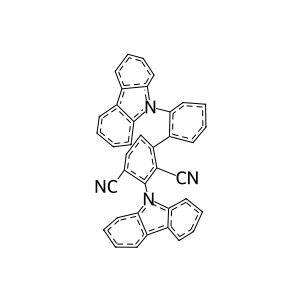 N#Cc1ccc(-c2ccccc2-n2c3ccccc3c3ccccc32)c(C#N)c1-n1c2ccccc2c2ccccc21